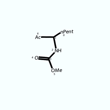 CCCCCC(NC(=O)OC)C(C)=O